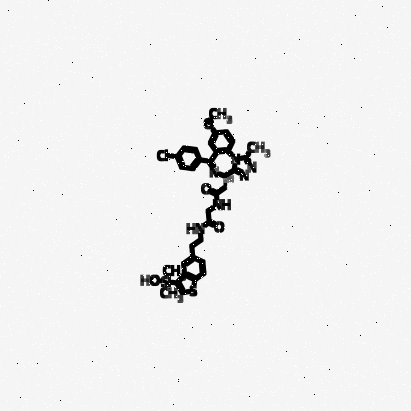 COc1ccc2c(c1)C(c1ccc(Cl)cc1)=N[C@@H](CC(=O)NCC(=O)NCCc1ccc3scc([Si](C)(C)O)c3c1)c1nnc(C)n1-2